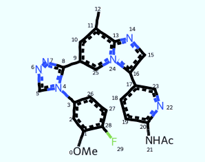 COc1cc(-n2cnnc2-c2cc(C)c3ncc(-c4ccc(NC(C)=O)nc4)n3c2)ccc1F